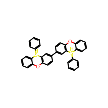 c1ccc([SH]2c3ccccc3Oc3ccc(-c4ccc5c(c4)[SH](c4ccccc4)c4ccccc4O5)cc32)cc1